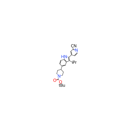 CC(C)c1c(-c2ccnc(C#N)c2)[nH]c2ccc(C3CCN(C(=O)OC(C)(C)C)CC3)cc12